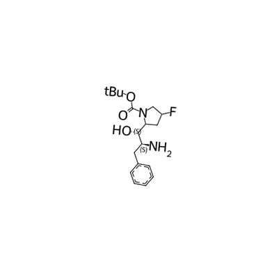 CC(C)(C)OC(=O)N1CC(F)CC1[C@@H](O)[C@@H](N)Cc1ccccc1